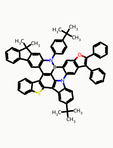 CC(C)(C)c1ccc(N2B3c4cc5oc(-c6ccccc6)c(-c6ccccc6)c5cc4-n4c5ccc(C(C)(C)C)cc5c5c6sc7ccccc7c6c(c3c54)-c3cc4c(cc32)C(C)(C)c2ccccc2-4)cc1